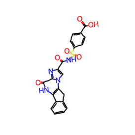 O=C(O)c1ccc(S(=O)(=O)NC(=O)c2cn3c4c([nH]c(=O)c3n2)-c2ccccc2C4)cc1